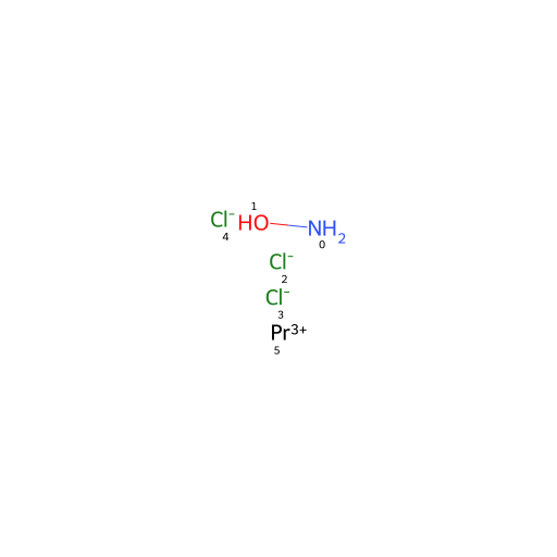 NO.[Cl-].[Cl-].[Cl-].[Pr+3]